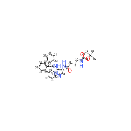 Cn1ncc(NC(=O)[CH]CCNC(=O)OC(C)(C)C)c1NC(c1ccccc1)(c1ccccc1)c1ccccc1